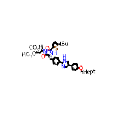 CCCCCCCOc1ccc(C2=CNC(c3ccc(C[C@H](NC(=O)c4ccc(C(C)(C)C)s4)C(=O)N[C@H](CCC(=O)O)C(=O)O)cc3)N=C2)cc1